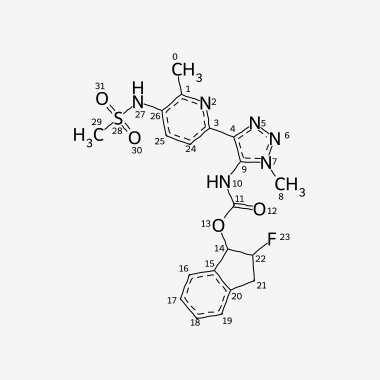 Cc1nc(-c2nnn(C)c2NC(=O)OC2c3ccccc3CC2F)ccc1NS(C)(=O)=O